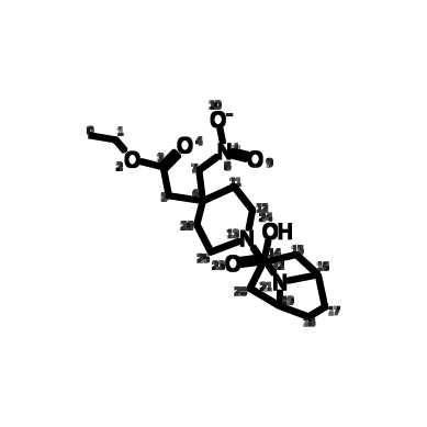 CCOC(=O)CC1(C[N+](=O)[O-])CCN(C2CC3CCC(C2)N3C(=O)O)CC1